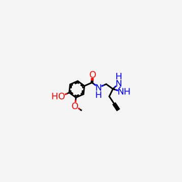 C#CCC1(CNC(=O)c2ccc(O)c(OC)c2)NN1